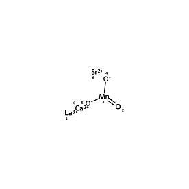 [Ca+2].[La+3].[O]=[Mn]([O-])[O-].[Sr+2]